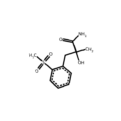 CC(O)(Cc1ccccc1S(C)(=O)=O)C(N)=O